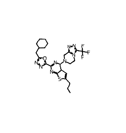 CCCC1=CC2C(=NC(c3nnc(CC4CCCCC4)o3)=NC2N2CCn3c(nnc3C(F)(F)F)C2)S1